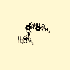 C[S+]([O-])c1cccc(Nc2ncc3ccc4nc(COC(=O)C(C)(C)C)sc4c3n2)c1